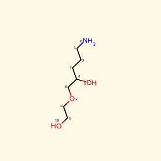 NCCCC(O)COCCO